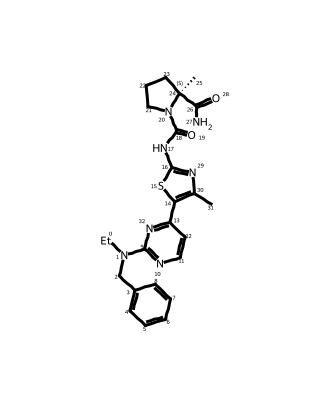 CCN(Cc1ccccc1)c1nccc(-c2sc(NC(=O)N3CCC[C@@]3(C)C(N)=O)nc2C)n1